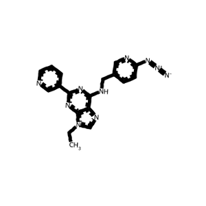 CCn1cnc2c(NCc3ccc(N=[N+]=[N-])nc3)nc(-c3cccnc3)nc21